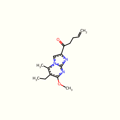 C=CCCC(=O)c1cn2c(C)c(CC)c(OC)nc2n1